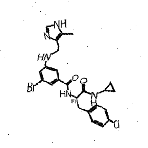 Cc1[nH]cnc1CNc1cc(Br)cc(C(=O)N[C@H](Cc2ccc(Cl)cc2)C(=O)NC2CC2)c1